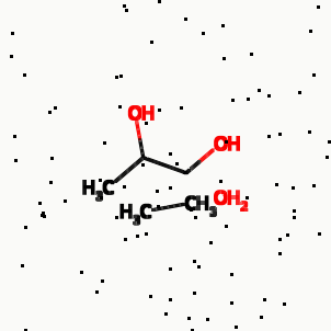 CC.CC(O)CO.O